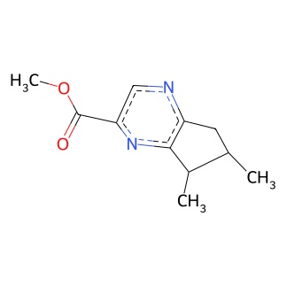 COC(=O)c1cnc2c(n1)C(C)C(C)C2